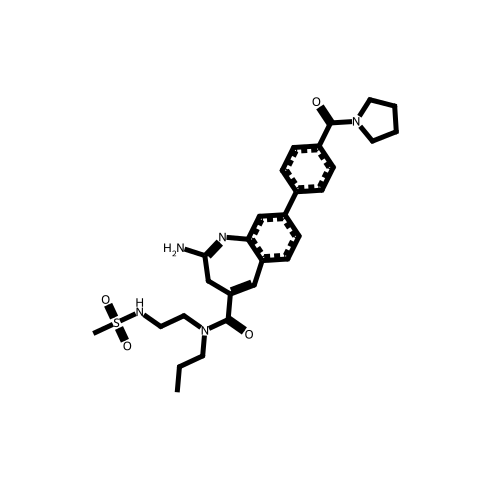 CCCN(CCNS(C)(=O)=O)C(=O)C1=Cc2ccc(-c3ccc(C(=O)N4CCCC4)cc3)cc2N=C(N)C1